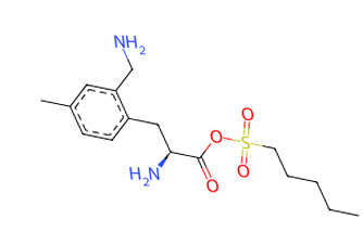 CCCCCS(=O)(=O)OC(=O)[C@@H](N)Cc1ccc(C)cc1CN